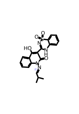 CC(C)/C=N/n1c(=O)c(C2=NS(=O)(=O)c3ccccc3N2)c(O)c2ccccc21